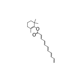 C=CC=CC=CC=CC=CC(=O)OC1=C(C)CCCC1(C)C